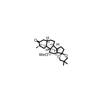 CO[C@H]1C[C@@]2(C)[C@@H](CCC23OCC(C)(C)CO3)[C@@H]2CC[C@H]3CC(=O)[C@H](C)C[C@]3(C)[C@H]21